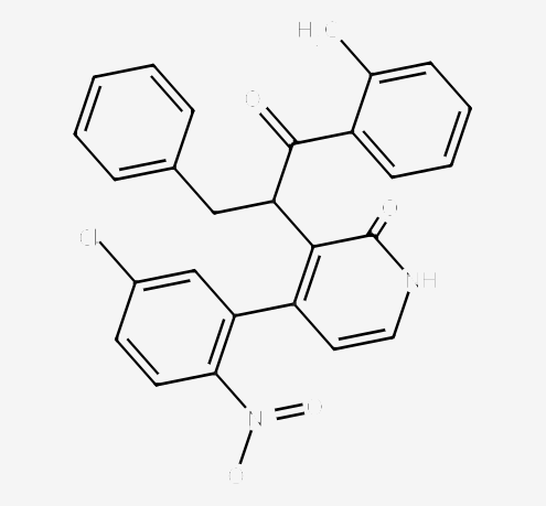 [CH2]c1ccccc1C(=O)C(Cc1ccccc1)c1c(-c2cc(Cl)ccc2[N+](=O)[O-])cc[nH]c1=O